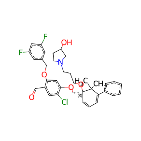 CC1(C)C(c2ccccc2)=CC=C[C@@]1(COc1cc(OCc2cc(F)cc(F)c2)c(C=O)cc1Cl)OCCCN1CCC(O)C1